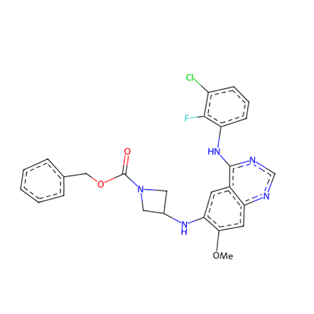 COc1cc2ncnc(Nc3cccc(Cl)c3F)c2cc1NC1CN(C(=O)OCc2ccccc2)C1